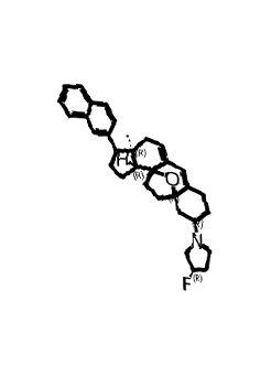 C[C@]12CC=C3C=C4CC[C@@H](N5CC[C@@H](F)C5)C[C@]45CCC3(O5)[C@@H]1CCC2c1ccc2ccccc2c1